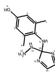 Cc1cc(O)cc(C)c1NC1(NN)N=CC=N1